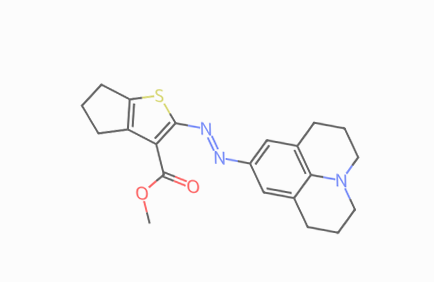 COC(=O)c1c(N=Nc2cc3c4c(c2)CCCN4CCC3)sc2c1CCC2